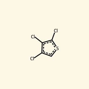 Clc1csc(Cl)c1Cl